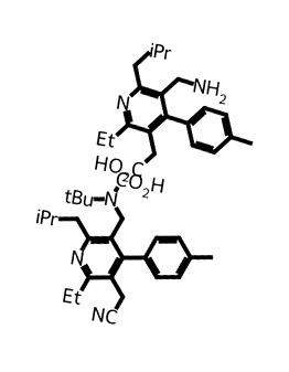 CCc1nc(CC(C)C)c(CN(C(=O)O)C(C)(C)C)c(-c2ccc(C)cc2)c1CC#N.CCc1nc(CC(C)C)c(CN)c(-c2ccc(C)cc2)c1CC(=O)O